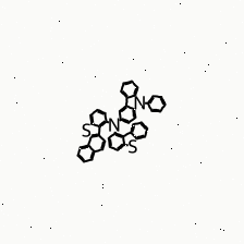 c1ccc(-n2c3ccccc3c3cc(N(c4cccc5sc6ccccc6c45)c4cccc5sc6c7ccccc7ccc6c45)ccc32)cc1